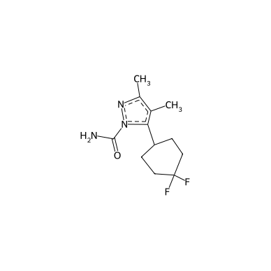 Cc1nn(C(N)=O)c(C2CCC(F)(F)CC2)c1C